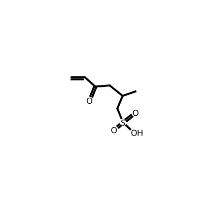 C=CC(=O)CC(C)CS(=O)(=O)O